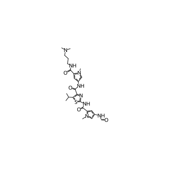 CC(C)c1sc(NC(=O)c2cc(NC=O)cn2C)nc1C(=O)Nc1cc(C(=O)NCCCN(C)C)n(C)c1